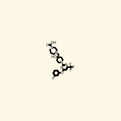 O=C(O)N1CCCN(CC2(O)CCN(c3nc(Oc4cccc(F)c4)cc(C(F)(F)F)n3)CC2)CC1